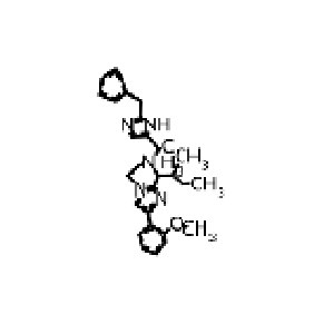 CCC(C)C1c2nc(-c3ccccc3OC)cn2CCN1C(C)c1cnc(Cc2ccccc2)[nH]1